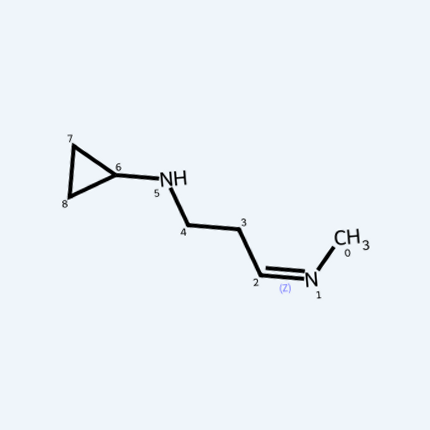 C/N=C\CCNC1CC1